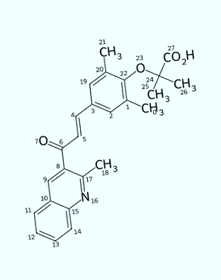 Cc1cc(C=CC(=O)c2cc3ccccc3nc2C)cc(C)c1OC(C)(C)C(=O)O